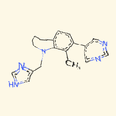 Cc1c(-c2cncnc2)ccc2c1N(Cc1c[nH]cn1)CC2